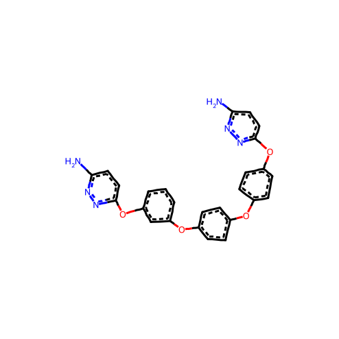 Nc1ccc(Oc2ccc(Oc3ccc(Oc4cccc(Oc5ccc(N)nn5)c4)cc3)cc2)nn1